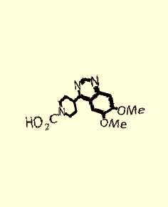 COc1cc2ncnc(C3CCN(C(=O)O)CC3)c2cc1OC